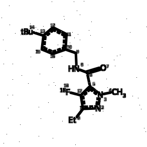 CCc1nn(C)c(C(=O)NCc2ccc(C(C)(C)C)cc2)c1[18F]